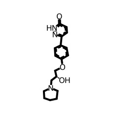 O=c1ccc(-c2ccc(OC[C@H](O)CN3CCCCC3)cc2)n[nH]1